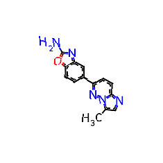 Cc1cnc2ccc(-c3ccc4oc(N)nc4c3)nn12